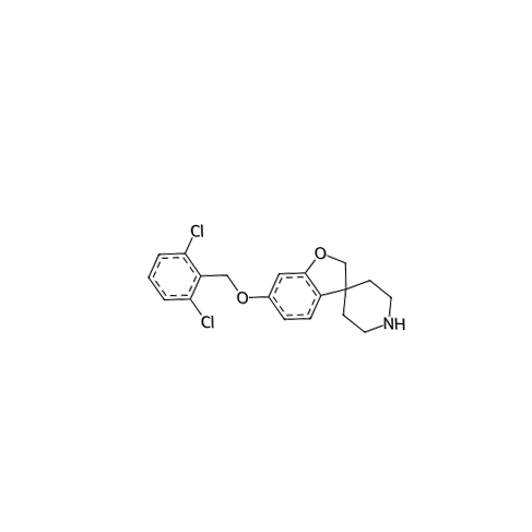 Clc1cccc(Cl)c1COc1ccc2c(c1)OCC21CCNCC1